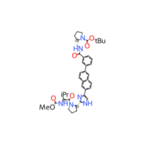 COC(=O)N[C@H](C(=O)N1CCC[C@H]1c1nc(-c2ccc3cc(-c4cccc(C(=O)NC[C@@H]5CCCN5C(=O)OC(C)(C)C)c4)ccc3c2)c[nH]1)C(C)C